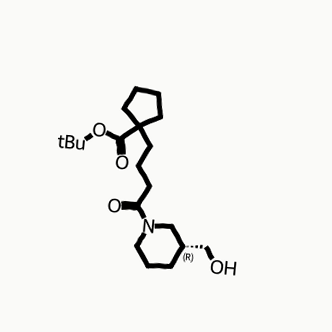 CC(C)(C)OC(=O)C1(CCCC(=O)N2CCC[C@@H](CO)C2)CCCC1